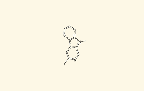 Cn1c2ccccc2c2cc(I)ncc21